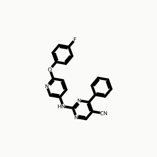 N#Cc1cnc(Nc2ccc(Oc3ccc(F)cc3)nc2)nc1-c1ccccc1